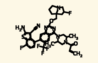 C=CC(=O)N1CC(C)N(c2nc(OCC34CCCN3CC(F)C4)nc3cc(-c4ccc(F)c5sc(N)c(C#N)c45)c(C(F)(F)F)cc23)CC1C